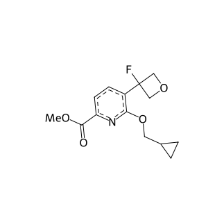 COC(=O)c1ccc(C2(F)COC2)c(OCC2CC2)n1